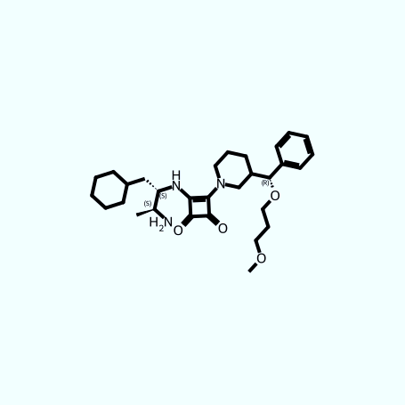 COCCCO[C@@H](c1ccccc1)C1CCCN(c2c(N[C@@H](CC3CCCCC3)[C@H](C)N)c(=O)c2=O)C1